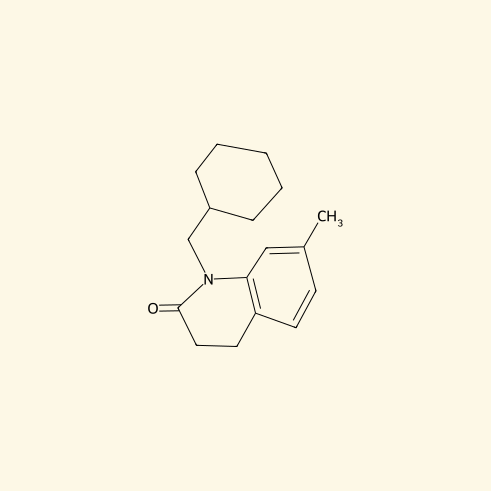 Cc1ccc2c(c1)N(CC1CCCCC1)C(=O)CC2